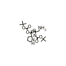 CC(C)(C)OC(=O)OC(=O)[C@]1(N(C(=O)CN)C(=O)OC(C)(C)C)CCCN1